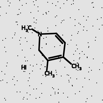 CC1=C(C)CN(C)C=C1.I